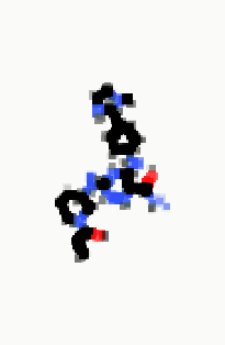 C=CC(=O)N1CCC[C@@H](Nc2nnc(C(N)=O)c(Nc3ccc(C4=NCCN4C)cc3)n2)C1